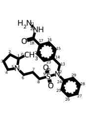 CC1CCCN1CCCS(=O)(=O)N(Cc1ccc(C(=O)NN)cc1)c1ccccc1